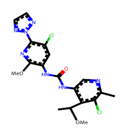 COc1nc(-n2nccn2)c(Cl)cc1NC(=O)Nc1cnc(C)c(Cl)c1C(C)OC